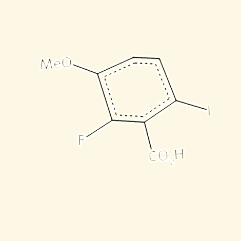 COc1ccc(I)c(C(=O)O)c1F